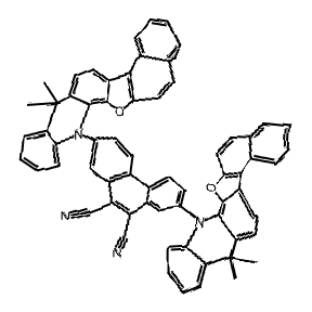 CC1(C)c2ccccc2N(c2ccc3c(c2)c(C#N)c(C#N)c2cc(N4c5ccccc5C(C)(C)c5ccc6c(oc7ccc8ccccc8c76)c54)ccc23)c2c1ccc1c2oc2ccc3ccccc3c21